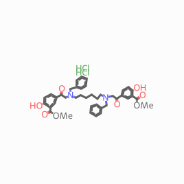 COC(=O)c1cc(C(=O)CN(CCCCCCN(CC(=O)c2ccc(O)c(C(=O)OC)c2)Cc2ccccc2)Cc2ccccc2)ccc1O.Cl.Cl